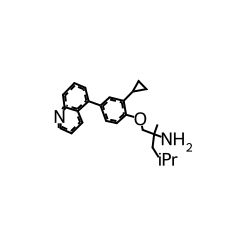 CC(C)CC(C)(N)COc1ccc(-c2cccc3ncccc23)cc1C1CC1